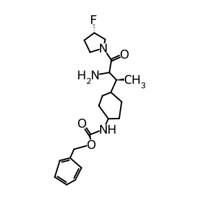 C[C@@H](C1CCC(NC(=O)OCc2ccccc2)CC1)C(N)C(=O)N1CC[C@H](F)C1